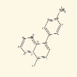 Cc1ccc(-c2ccc(N)cc2)c2ncccc12